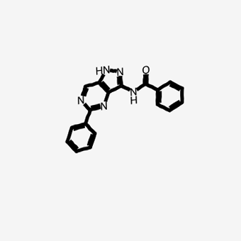 O=C(Nc1n[nH]c2cnc(-c3ccccc3)nc12)c1ccccc1